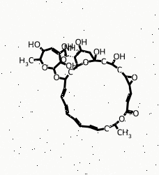 CC1C/C=C/C=C/C=C/C=C/C(OC2OC(C)C(O)C=C(N)C2O)CC2OC(O)(CC(O)CC3OC3/C=C/C(=O)O1)CC(O)[C@H]2C(=O)O